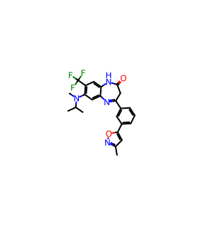 Cc1cc(-c2cccc(C3=Nc4cc(N(C)C(C)C)c(C(F)(F)F)cc4NC(=O)C3)c2)on1